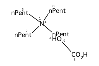 CCCCC[N+](CCCCC)(CCCCC)CCCCC.O=C(O)O